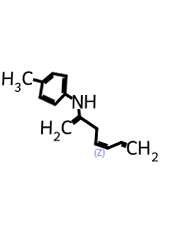 C=C/C=C\CC(=C)Nc1ccc(C)cc1